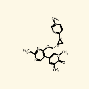 Cc1ccc([C@H]2C[C@@H]2COc2nc(C)ncc2-c2cc(C)c(=O)n(C)c2)nc1